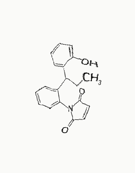 CCC(c1ccccc1O)c1ccccc1N1C(=O)C=CC1=O